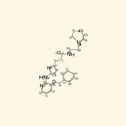 O=C(CCc1csc(Nc2ncccc2OCc2ccccc2)n1)NCCN1CCOCC1